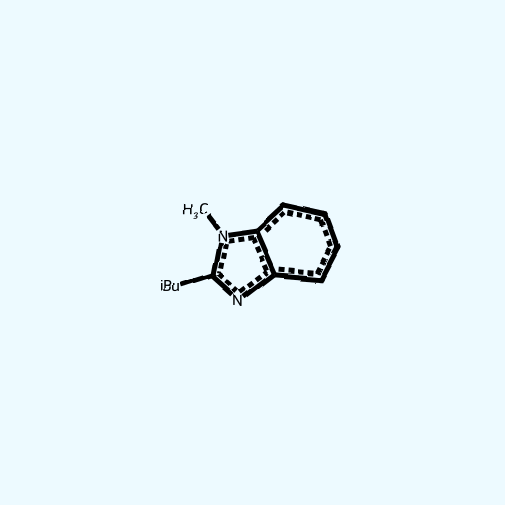 CCC(C)c1nc2ccccc2n1C